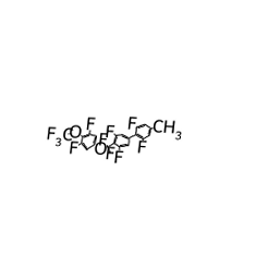 Cc1cc(F)c(-c2cc(F)c(C(F)(F)Oc3cc(F)c(OC(F)(F)F)c(F)c3)c(F)c2)c(F)c1